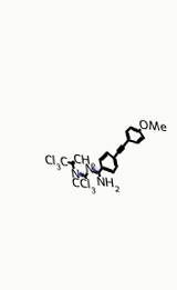 C=C(/N=C(\N=C(/N)c1ccc(C#Cc2ccc(OC)cc2)cc1)C(Cl)(Cl)Cl)C(Cl)(Cl)Cl